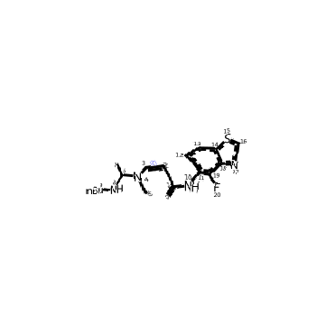 C=C(/C=C\N(C)C(C)NCCCC)Nc1ccc2scnc2c1F